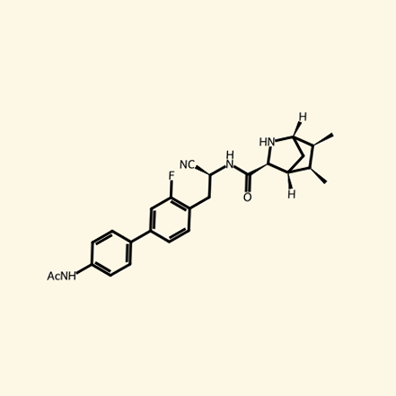 CC(=O)Nc1ccc(-c2ccc(C[C@@H](C#N)NC(=O)[C@H]3N[C@H]4C[C@@H]3[C@H](C)[C@@H]4C)c(F)c2)cc1